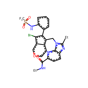 CCNC(=O)c1ccc2nc(CC)n(Cc3c4ccocc-4c(Br)c3-c3ccccc3NS(=O)(=O)C(F)(F)F)c2n1